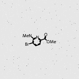 CNc1nc(C(=O)OC)ccc1Br